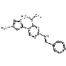 Cc1cc(-c2cnc(NCc3ccccc3)nc2C(C)C)on1